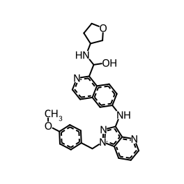 COc1ccc(Cn2nc(Nc3ccc4c(C(O)NC5CCOC5)nccc4c3)c3ncccc32)cc1